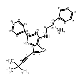 CC(C)(C)C#Cc1csc2c(NC[C@@H](N)Cc3ccccc3)nc(-c3ccncc3)nc12